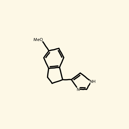 COc1ccc2c(c1)CCC2c1c[nH]cn1